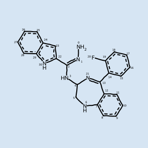 NN=C(NC1CNc2ccccc2C(c2ccccc2F)=N1)c1cc2ccccc2[nH]1